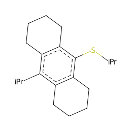 CC(C)Sc1c2c(c(C(C)C)c3c1CCCC3)CCCC2